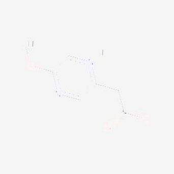 COc1cnc(CC(=O)[O-])cn1.[Li+]